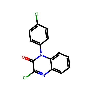 O=c1c(Cl)nc2ccccc2n1-c1ccc(Cl)cc1